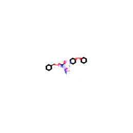 CCC(=O)NC(COCc1ccccc1)C(=O)Nc1ccc(Oc2ccccc2)cc1